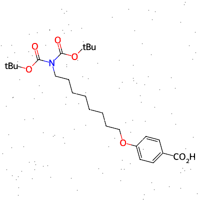 CC(C)(C)OC(=O)N(CCCCCCCCOc1ccc(C(=O)O)cc1)C(=O)OC(C)(C)C